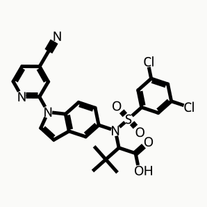 CC(C)(C)C(C(=O)O)N(c1ccc2c(ccn2-c2cc(C#N)ccn2)c1)S(=O)(=O)c1cc(Cl)cc(Cl)c1